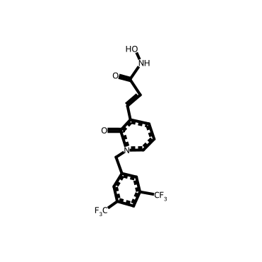 O=C(/C=C/c1cccn(Cc2cc(C(F)(F)F)cc(C(F)(F)F)c2)c1=O)NO